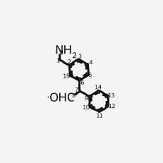 NCc1cccc(C([C]=O)c2ccccc2)c1